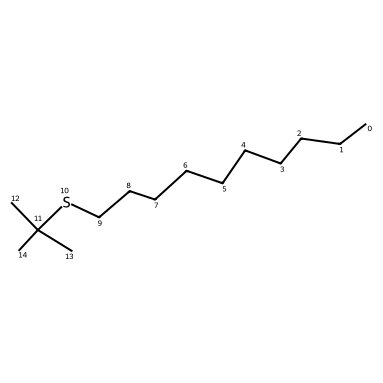 CCCCCCCCCCSC(C)(C)C